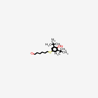 CC(C)(C)c1cc(SCCCCCC[O])cc(C(C)(C)C)c1O